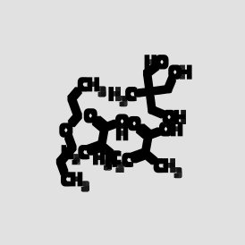 C=C(C)C(=O)O.C=C(C)C(=O)O.CC(CO)(CO)CO.CCCOCCC